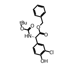 CC(C)(C)OC(=O)N[C@H](C(=O)OCc1ccccc1)c1ccc(O)c(Cl)c1